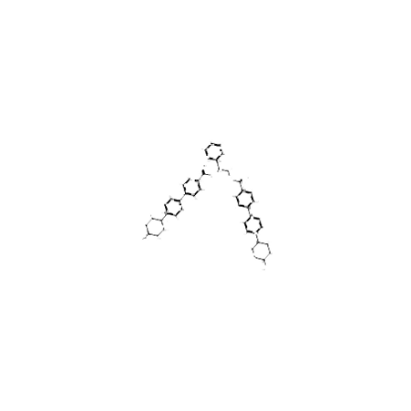 CCC1CCC(c2ccc(-c3ccc(C(=O)OCC(OC(=O)c4ccc(-c5ccc(C6CCC(CC)CC6)cc5)cc4)c4ccccc4)cc3)cc2)CC1